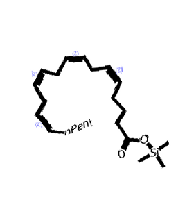 CCCCC/C=C\C/C=C\C/C=C\C/C=C\CCCC(=O)O[Si](C)(C)C